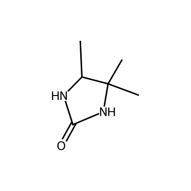 CC1NC(=O)NC1(C)C